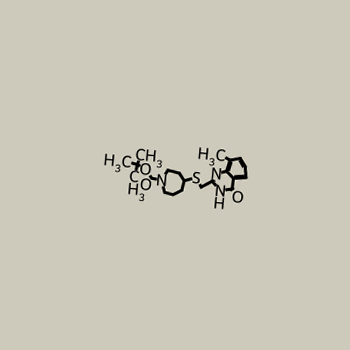 Cc1cccc2c(=O)[nH]c(CSC3CCCN(C(=O)OC(C)(C)C)CC3)nc12